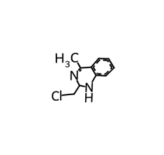 CC1=NC(CCl)Nc2ccccc21